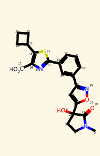 CN1CCC(O)(c2cc(-c3cccc(-c4nc(C(=O)O)c(C5CCC5)s4)c3)no2)C1=O